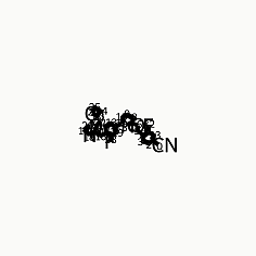 N#Cc1ccc(COc2cccc(-c3ccc(Cc4nccn4C[C@@H]4CCO4)c(F)c3)n2)c(F)c1